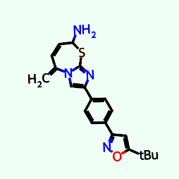 C=C1C=CC(N)Sc2nc(-c3ccc(-c4cc(C(C)(C)C)on4)cc3)cn21